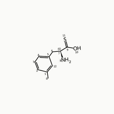 Cc1cccc(C[C@H](N)C(O)=S)c1